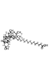 CC(C)[C@@H](C)CC[C@@H](C)[C@H]1CC[C@H]2[C@@H]3CC=C4CC(O)CC[C@]4(C)[C@H]3CC(CCCCCCCCCCCCCC=CC=CC(=O)O)[C@]12C